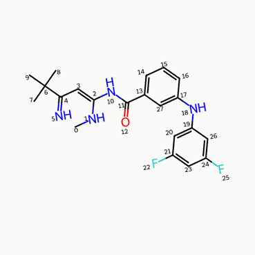 CN/C(=C\C(=N)C(C)(C)C)NC(=O)c1cccc(Nc2cc(F)cc(F)c2)c1